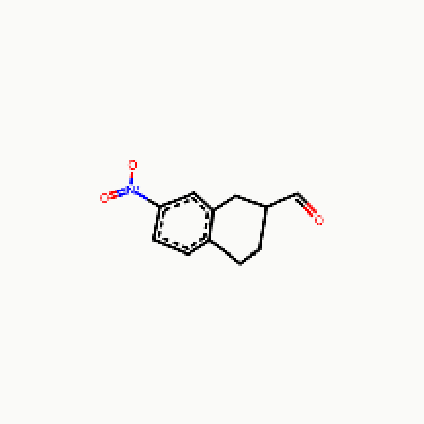 O=CC1CCc2ccc([N+](=O)[O-])cc2C1